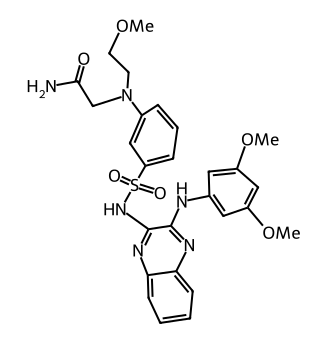 COCCN(CC(N)=O)c1cccc(S(=O)(=O)Nc2nc3ccccc3nc2Nc2cc(OC)cc(OC)c2)c1